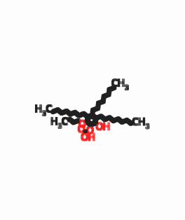 CCCCCCCCCc1c(O)c(OC(=O)O)c(OCCCC)c(CCCCCCCCC)c1CCCCCCCCC